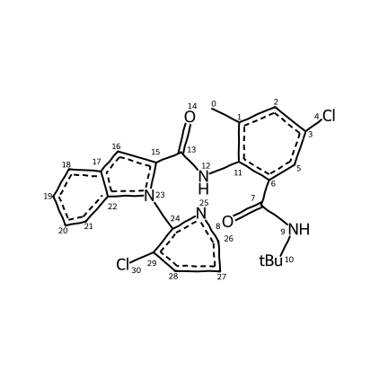 Cc1cc(Cl)cc(C(=O)NC(C)(C)C)c1NC(=O)c1cc2ccccc2n1-c1ncccc1Cl